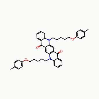 Cc1ccc(OCCCCCn2c3ccccc3c(=O)c3cc4c(cc32)c(=O)c2ccccc2n4CCCCCOc2ccc(C)cc2)cc1